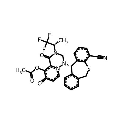 CC(=O)Oc1c2n(ccc1=O)N([C@H]1c3ccccc3CSc3c(C#N)cccc31)CN([C@H](C)C(F)(F)F)C2=O